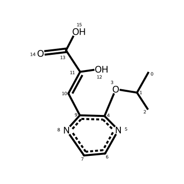 CC(C)Oc1nccnc1/C=C(\O)C(=O)O